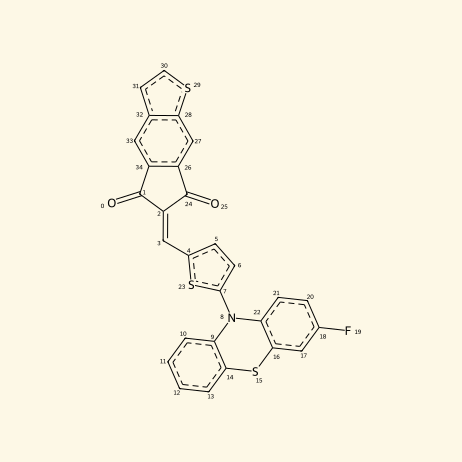 O=C1/C(=C/c2ccc(N3c4ccccc4Sc4cc(F)ccc43)s2)C(=O)c2cc3sccc3cc21